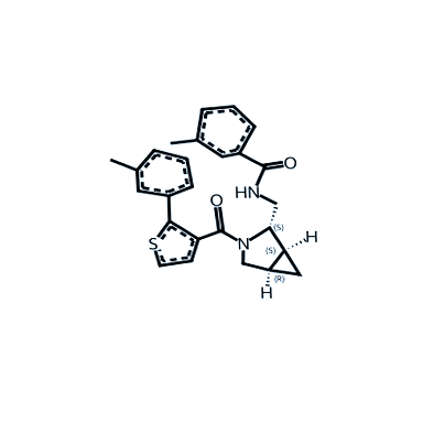 Cc1cccc(C(=O)NC[C@@H]2[C@H]3C[C@H]3CN2C(=O)c2ccsc2-c2cccc(C)c2)c1